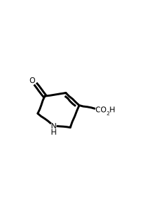 O=C1C=C(C(=O)O)CNC1